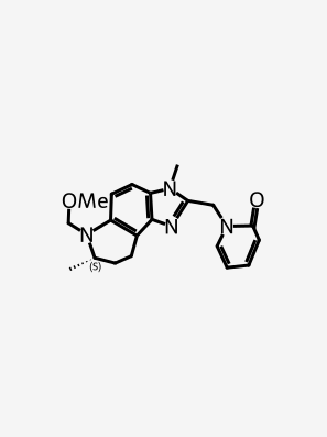 COCN1c2ccc3c(nc(Cn4ccccc4=O)n3C)c2CC[C@@H]1C